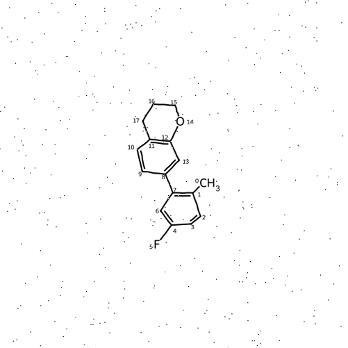 Cc1ccc(F)cc1-c1ccc2c(c1)OCCC2